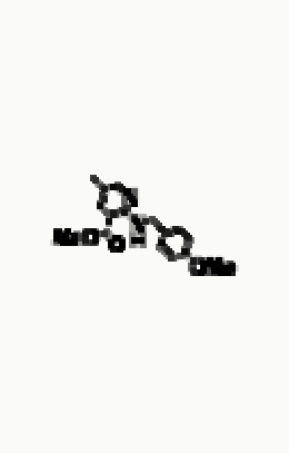 COC(=O)c1cc(C)cnc1NCc1ccc(OC)cc1